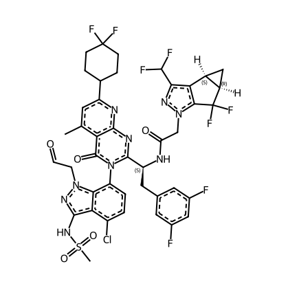 Cc1cc(C2CCC(F)(F)CC2)nc2nc([C@H](Cc3cc(F)cc(F)c3)NC(=O)Cn3nc(C(F)F)c4c3C(F)(F)[C@@H]3C[C@H]43)n(-c3ccc(Cl)c4c(NS(C)(=O)=O)nn(CC=O)c34)c(=O)c12